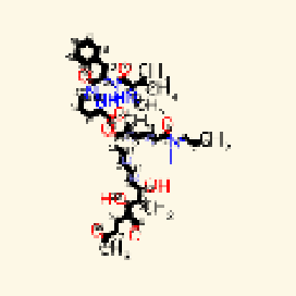 C=CCNC(=O)/C=C/C=C(\C)[C@H](C/C=C/C=C/[C@H](O)C(C)C(O)C(C=O)CCC(C)=O)OC(=O)C1CCCN(C(=O)C(Cc2ccccc2)NC(=O)C(NC)C(C)C)N1